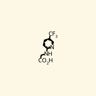 O=C(O)CNc1ccc(C(F)(F)F)cn1